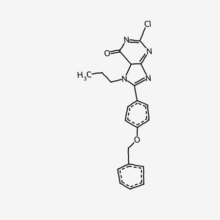 CCCN1C(c2ccc(OCc3ccccc3)cc2)=NC2=NC(Cl)=NC(=O)C21